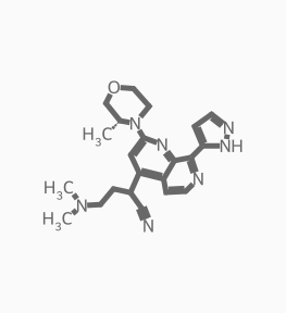 C[C@@H]1COCCN1c1cc(C(C#N)CCN(C)C)c2ccnc(-c3ccn[nH]3)c2n1